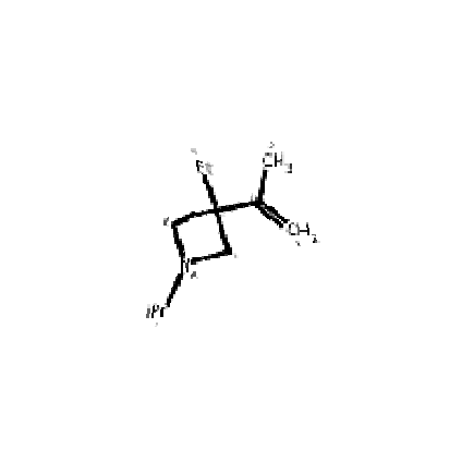 C=C(C)C1(CC)CN(C(C)C)C1